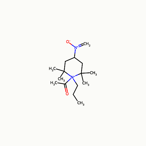 C=[N+]([O-])C1CC(C)(C)[N+](CCC)(C(C)=O)C(C)(C)C1